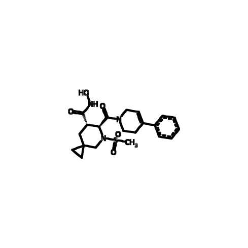 CS(=O)(=O)N1CC2(CC2)C[C@H](C(=O)NO)[C@H]1C(=O)N1CC=C(c2ccccc2)CC1